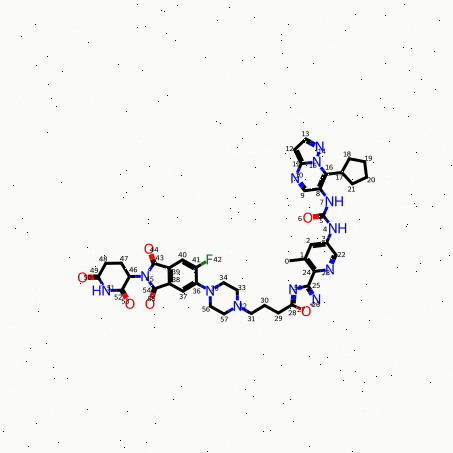 Cc1cc(NC(=O)Nc2cnc3ccnn3c2C2CCCC2)cnc1-c1noc(CCCN2CCN(c3cc4c(cc3F)C(=O)N(C3CCC(=O)NC3=O)C4=O)CC2)n1